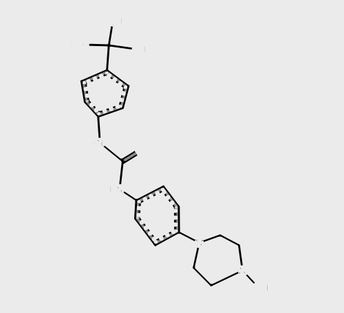 CN1CCN(c2ccc(NC(=O)Nc3ccc(C(C)(C)C)cc3)cc2)CC1